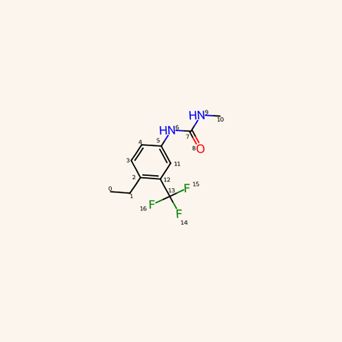 CCc1ccc(NC(=O)NC)cc1C(F)(F)F